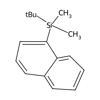 CC(C)(C)[Si](C)(C)c1cccc2ccccc12